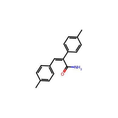 Cc1ccc(C=C(C(N)=O)c2ccc(C)cc2)cc1